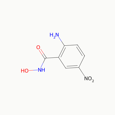 Nc1ccc([N+](=O)[O-])cc1C(=O)NO